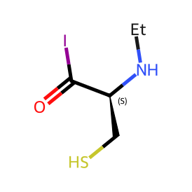 CCN[C@@H](CS)C(=O)I